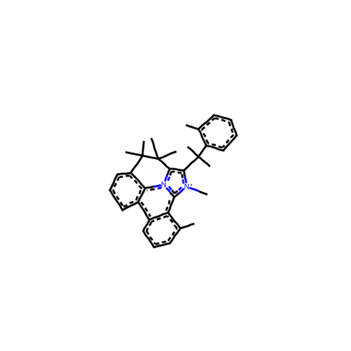 Cc1ccccc1C(C)(C)c1c2n3c4c(cccc4c4cccc(C)c4c3[n+]1C)C(C)(C)C2(C)C